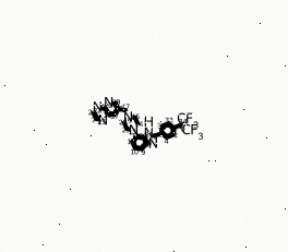 FC(F)(F)C(c1ccc(-c2nc3cccc(N4CCN(Cc5cnc6nccnc6c5)CC4)c3[nH]2)cc1)C(F)(F)F